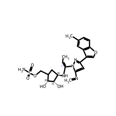 C=Nc1cc(-c2coc3ccc(C)cc23)nn1/C(=C\C)N[C@@H]1CC(COS(N)(=O)=O)[C@@H](O)[C@H]1O